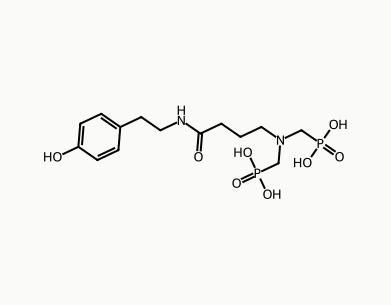 O=C(CCCN(CP(=O)(O)O)CP(=O)(O)O)NCCc1ccc(O)cc1